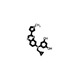 Cn1ccc(-c2cnc3ccc(N(CC4CC4)c4cc(O)cc(O)c4)cc3n2)c1